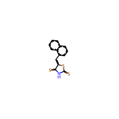 S=C1NC(=S)/C(=C/c2cccc3ccccc23)S1